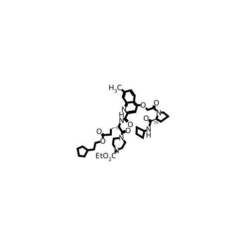 CCOC(=O)N1CCN(C(=O)[C@H](CCC(=O)OCCC2CCCC2)NC(=O)c2cc(OCC(=O)N3CCC[C@H]3C(=O)NC3CCC3)c3ccc(C)cc3n2)CC1